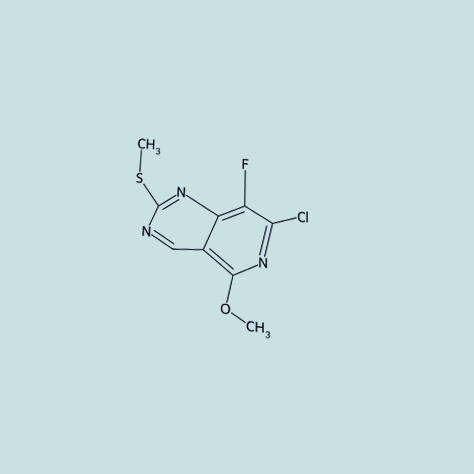 COc1nc(Cl)c(F)c2nc(SC)ncc12